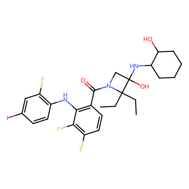 CCC1(CC)N(C(=O)c2ccc(F)c(F)c2Nc2ccc(I)cc2F)CC1(O)NC1CCCCC1O